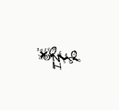 CC(=O)SCCCNC(=O)OC(C)(C)C